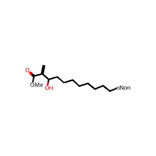 C=C(C(=O)OC)C(O)CCCCCCCCCCCCCCCCC